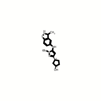 CC1NSc2ccc(Nc3cc([C@H]4CC[C@@H](O)C4)nn3C(C)(C)C)cc21